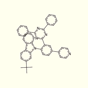 CC(C)(C)c1ccc2c3ccccc3n(-c3ccc(-c4ccncc4)cc3-c3nc(-c4ccccc4)nc(-c4ccccc4)n3)c2c1